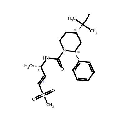 C[C@@H](/C=C/S(C)(=O)=O)NC(=O)N1CC[C@H](C(C)(C)F)C[C@@H]1c1ccccc1